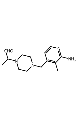 Cc1c(CN2CCN(C(C)C=O)CC2)ccnc1N